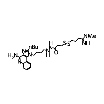 CCCCc1nc2c(N)nc3ccccc3c2n1CCCCNNC(=O)CCSSCCCC(=N)NC